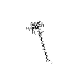 CCCCCCCCCCCCCCCCCCOC(=O)CCc1cc(C(C)(C)C)c(O)c(C(C)(C)C)c1O